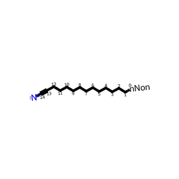 CCCCCCCCCCCCCCCCCCCCCC#C[N]